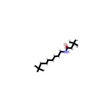 CC(C)(C)CCCCCCCNC(=O)CC(C)(C)C